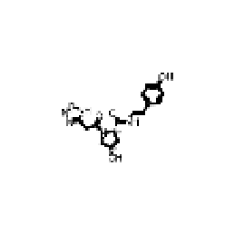 O=C(NCCc1ccc(O)cc1)[C@@H]1C[C@@H](O)CN1C(=O)Cc1nnn[nH]1